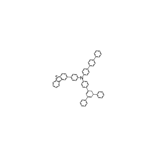 C1=C(c2ccccc2)C=C(c2ccc(N(c3ccc(-c4ccc(-c5ccccc5)cc4)cc3)c3ccc(-c4ccc5sc6ccccc6c5c4)cc3)cc2)CC1c1ccccc1